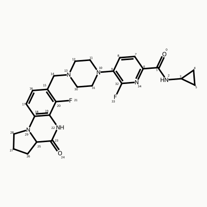 O=C(NC1CC1)c1ccc(N2CCN(Cc3ccc4c(c3F)NC(=O)C3CCCN43)CC2)c(F)n1